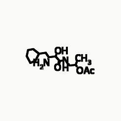 CC(=O)OC(C)CNC(=O)C(O)[C@H](N)CC1CCCCC1